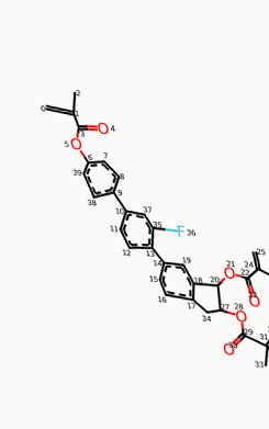 C=C(C)C(=O)Oc1ccc(-c2ccc(-c3ccc4c(c3)C(OC(=O)C(=C)C)C(OC(=O)C(=C)C)C4)c(F)c2)cc1